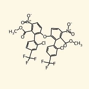 COC(=O)c1c([N+](=O)[O-])ccc(Oc2ccc([N+](=O)[O-])c(C(=O)OC)c2-c2ccc(C(F)(F)F)cc2Cl)c1-c1ccc(C(F)(F)F)cc1Cl